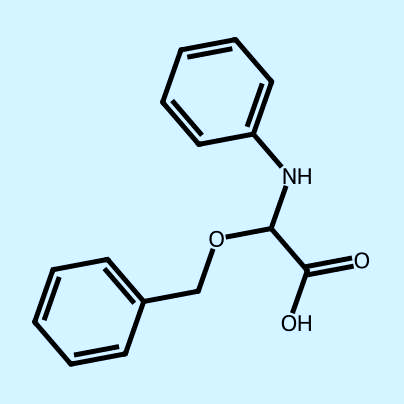 O=C(O)C(Nc1ccccc1)OCc1ccccc1